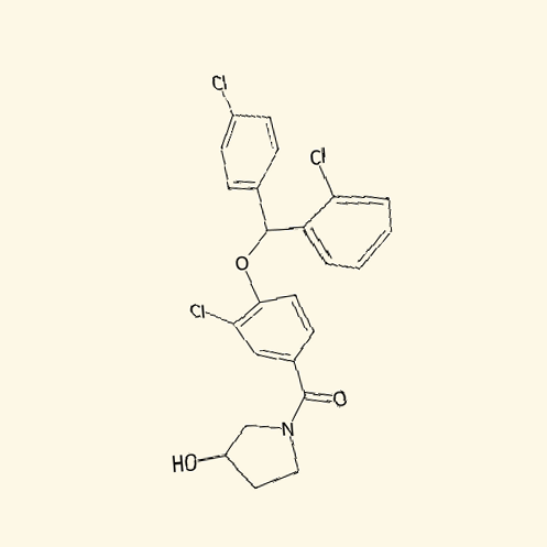 O=C(c1ccc(OC(c2ccc(Cl)cc2)c2ccccc2Cl)c(Cl)c1)N1CCC(O)C1